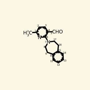 Cc1ccc(C=O)c(N2CCc3ccccc3CC2)n1